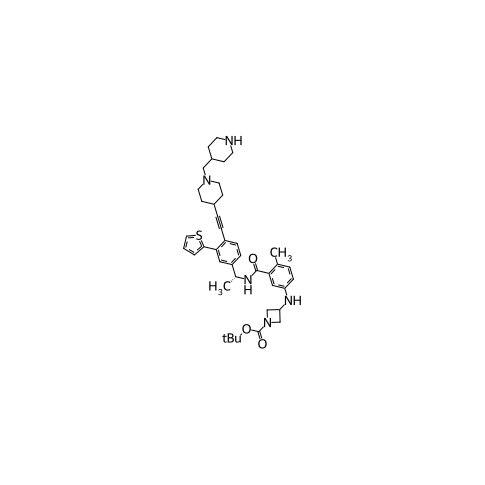 Cc1ccc(NC2CN(C(=O)OC(C)(C)C)C2)cc1C(=O)N[C@H](C)c1ccc(C#CC2CCN(CC3CCNCC3)CC2)c(-c2cccs2)c1